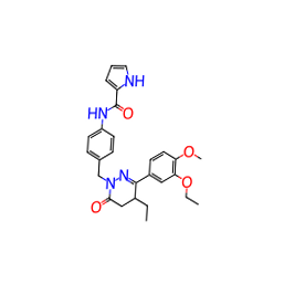 CCOc1cc(C2=NN(Cc3ccc(NC(=O)c4ccc[nH]4)cc3)C(=O)CC2CC)ccc1OC